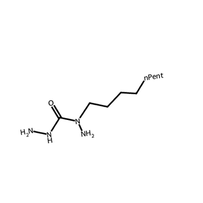 [CH2]CCCCCCCCN(N)C(=O)NN